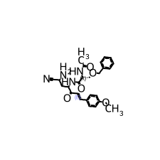 COc1ccc(/C=C/C(=O)C(CC(N)C#N)NC(=O)[C@@H](COCc2ccccc2)NC(C)=O)cc1